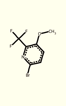 COc1ccc(Br)nc1C(F)(F)F